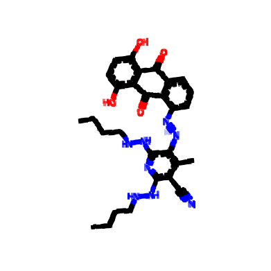 CCCCNNc1nc(NNCCCC)c(/N=N/c2cccc3c2C(=O)c2c(O)ccc(O)c2C3=O)c(C)c1C#N